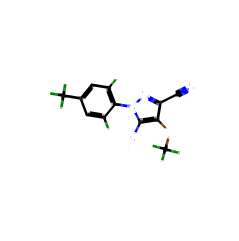 N#Cc1nn(-c2c(Br)cc(C(F)(F)F)cc2Br)c(N)c1SC(F)(F)F